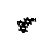 O=CN(c1ccc(S)cc1)N1CCOCC1